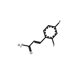 NC(=O)/C=C/c1ccc(F)cc1F